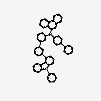 c1ccc(-c2ccc(N(c3cccc(-c4cccc(-c5cccc6c5c5ccccc5n6-c5ccccc5)c4)c3)c3cc4ccccc4c4ccccc34)cc2)cc1